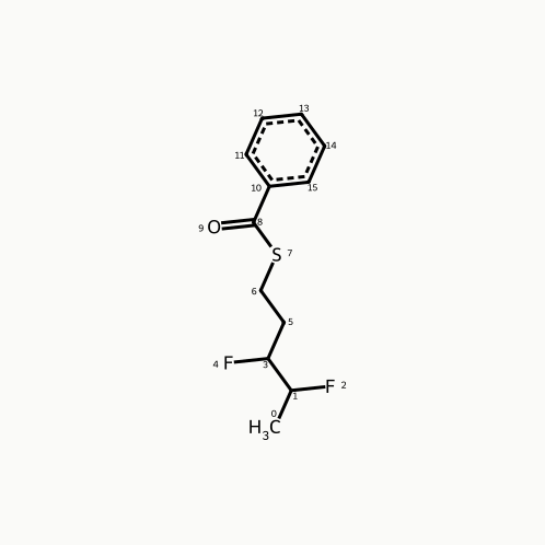 CC(F)C(F)CCSC(=O)c1ccccc1